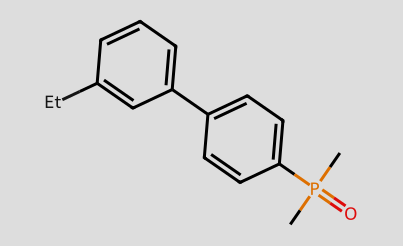 CCc1cccc(-c2ccc(P(C)(C)=O)cc2)c1